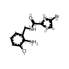 Nc1c(Cl)cccc1CNC(=O)c1nc(Br)cs1